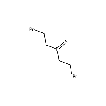 CC(C)CC[P](=S)CCC(C)C